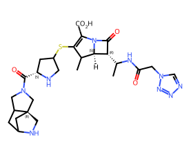 CC(NC(=O)Cn1cnnn1)[C@H]1C(=O)N2C(C(=O)O)=C(SC3CN[C@H](C(=O)N4CC5CC6C[C@@]5(CN6)C4)C3)C(C)[C@H]12